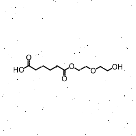 O=C(O)CCCCC(=O)OCCOCCO